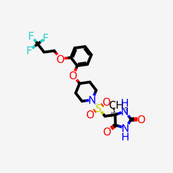 C[C@]1(CS(=O)(=O)N2CCC(Oc3ccccc3OCCC(F)(F)F)CC2)NC(=O)NC1=O